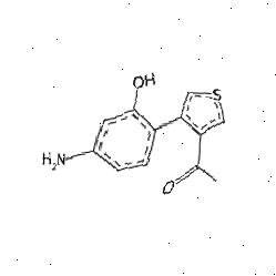 CC(=O)c1cscc1-c1ccc(N)cc1O